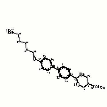 CCCCCCCCCC1COC(c2ccc(-c3ccc(OCCCCCC(C)CC)cc3)cc2)OC1